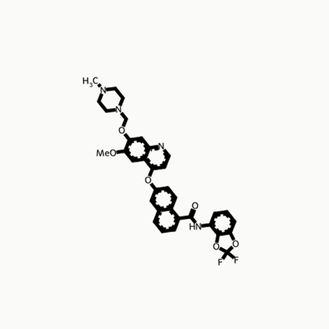 COc1cc2c(Oc3ccc4c(C(=O)Nc5cccc6c5OC(F)(F)O6)cccc4c3)ccnc2cc1OCN1CCN(C)CC1